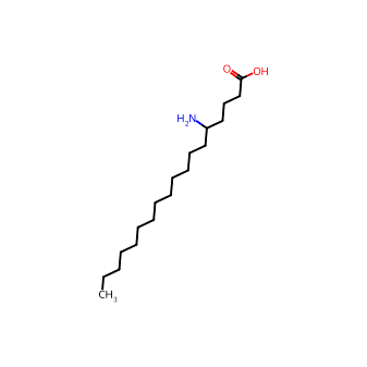 CCCCCCCCCCCCCC(N)CCCC(=O)O